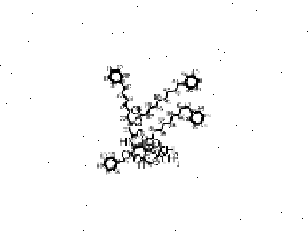 CC1(C)OC[C@H]2O[C@@H](OCc3ccccc3)[C@H](NC(=O)C[C@@H](CCCCCCc3ccccc3)OC(=O)CCCCCCCCc3ccccc3)[C@@H](OC(=O)CCCCCCCCc3ccccc3)[C@@H]2O1